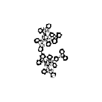 C1=CC2N=C3N(c4nc(N5C6=NC7C=C(c8ccc9c(c8)c8ccccc8n9-c8nc(-n9c%10ccccc%10n%10c%11ccccc%11nc9%10)nc([Si](c9ccccc9)(c9ccccc9)c9ccc(-n%10c%11ccccc%11c%11ccccc%11%10)cc9)n8)C=CC7N6c6ccccc65)nc([Si](c5ccccc5)(c5ccccc5)c5cccc6c5oc5ccccc56)n4)c4ccccc4N3C2C=C1